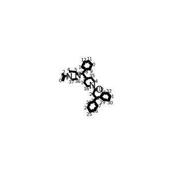 C=C(C)N1CCN(C(c2ccccc2)C2CCN(C(=O)CC(c3ccccc3)c3ccccc3)CC2)CC1